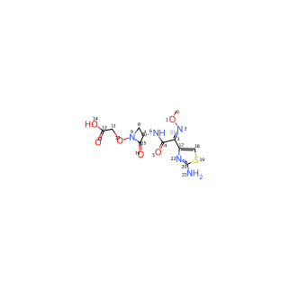 CO/N=C(\C(=O)N[C@H]1CN(OCC(=O)O)C1=O)c1csc(N)n1